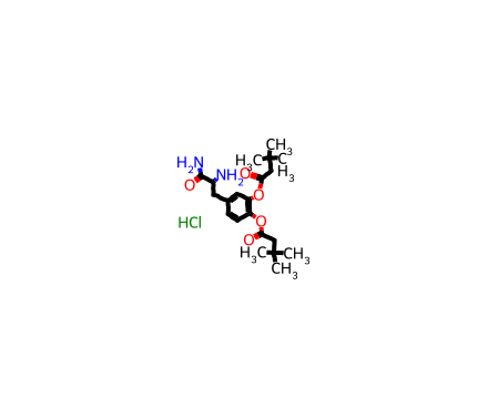 CC(C)(C)CC(=O)Oc1ccc(CC(N)C(N)=O)cc1OC(=O)CC(C)(C)C.Cl